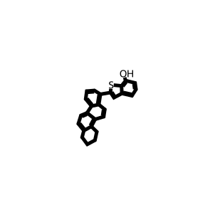 Oc1cccc2cc(-c3cccc4c3ccc3c5c(ccc34)CCCC5)sc12